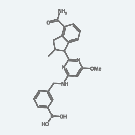 COc1cc(NCc2cccc(B(O)O)c2)nc(C2c3cccc(C(N)=O)c3CC2C)n1